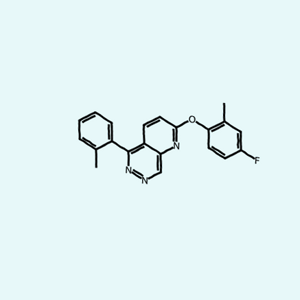 Cc1cc(F)ccc1Oc1ccc2c(-c3ccccc3C)nncc2n1